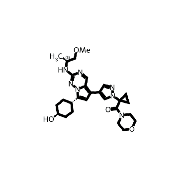 COC[C@H](C)Nc1ncc2c(-c3cnn(C4(C(=O)N5CCOCC5)CC4)c3)cc([C@H]3CC[C@H](O)CC3)n2n1